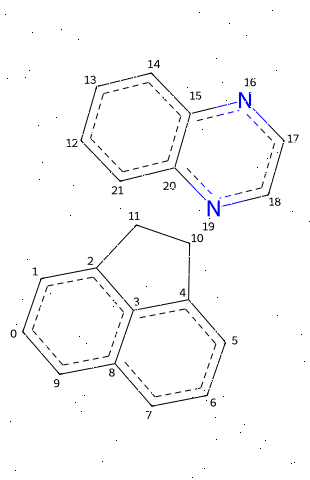 c1cc2c3c(cccc3c1)CC2.c1ccc2nccnc2c1